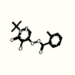 Cc1ccccc1C(=O)OOc1cnn(C(C)(C)C)c(=O)c1Cl